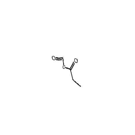 CCC(=O)O[C]=O